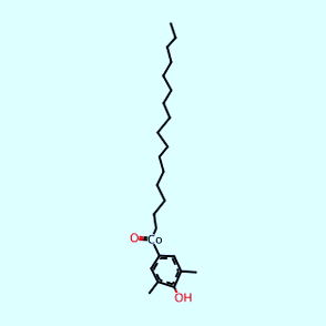 CCCCCCCCCCCCCCC[CH2][Co](=[O])[c]1cc(C)c(O)c(C)c1